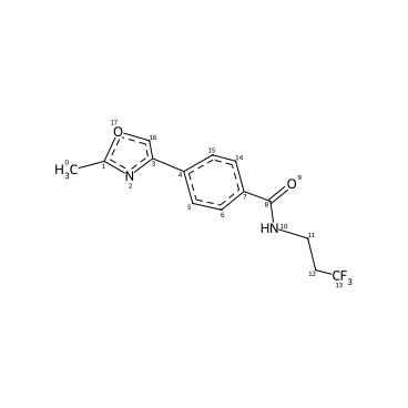 Cc1nc(-c2ccc(C(=O)NCCC(F)(F)F)cc2)co1